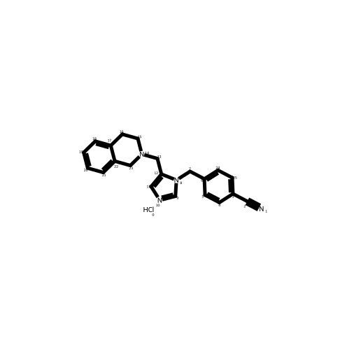 Cl.N#Cc1ccc(Cn2cncc2CN2CCc3ccccc3C2)cc1